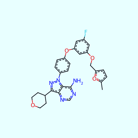 Cc1ccc(COc2cc(F)cc(Oc3ccc(-n4nc(C5CCOCC5)c5ncnc(N)c54)cc3)c2)o1